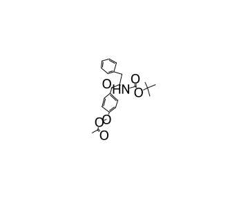 CC(=O)OOc1ccc(C(=O)C(Cc2ccccc2)NC(=O)OC(C)(C)C)cc1